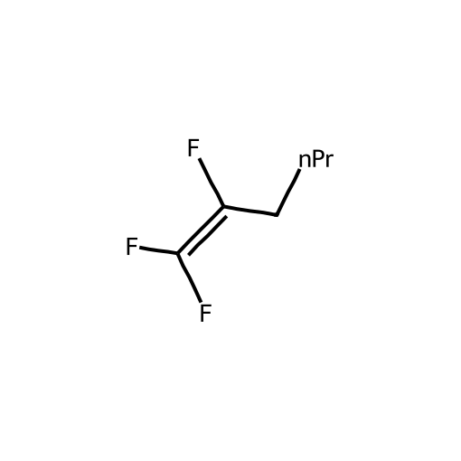 CCCCC(F)=C(F)F